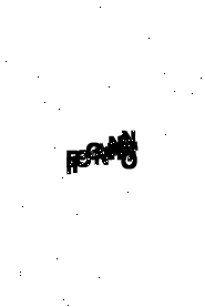 Cc1cc(Cn2cc3c(C4(NC=O)CC4)nccc3n2)cnc1OCCOCC(F)(F)F